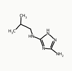 CC(C)CNc1nc(N)n[nH]1